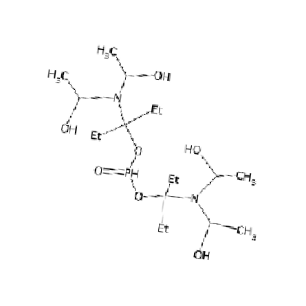 CCC(CC)(O[PH](=O)OC(CC)(CC)N(C(C)O)C(C)O)N(C(C)O)C(C)O